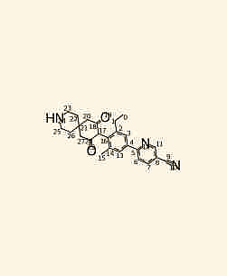 CCc1cc(-c2ccc(C#N)cn2)cc(C)c1C1C(=O)CC2(CCNCC2)CC1=O